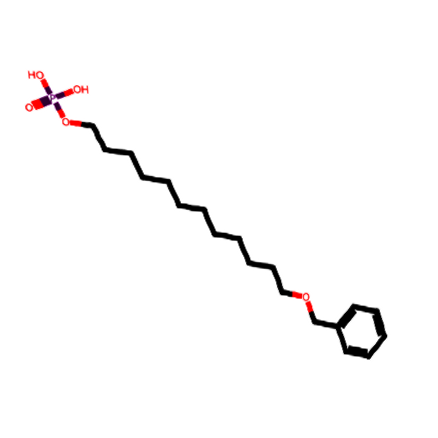 O=P(O)(O)OCCCCCCCCCCCCOCc1ccccc1